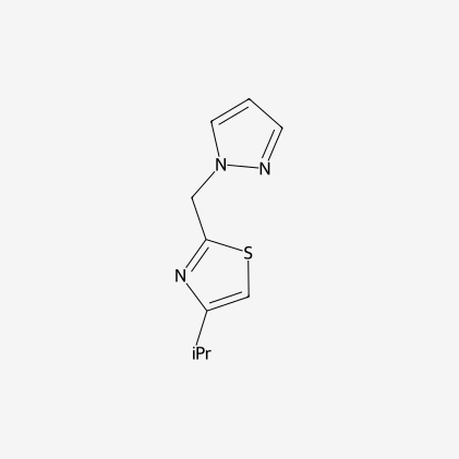 CC(C)c1csc(Cn2cccn2)n1